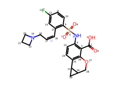 O=C(O)c1c(NS(=O)(=O)c2ccc(F)cc2/C=C\CN2CCC2)ccc2c1OCC1CC21